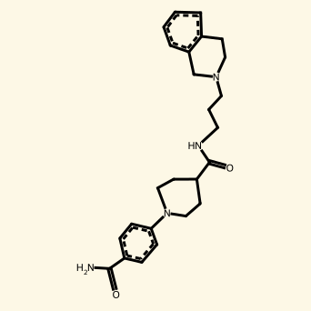 NC(=O)c1ccc(N2CCC(C(=O)NCCCN3CCc4ccccc4C3)CC2)cc1